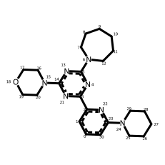 c1cc(-c2nc(N3CCCCCC3)nc(N3CCOCC3)n2)nc(N2CCCCC2)c1